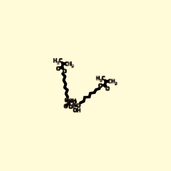 C=C(C)C(=O)OCCCCCCCCOP(=O)(O)OP(=O)(O)OCCCCCCCCOC(=O)C(=C)C